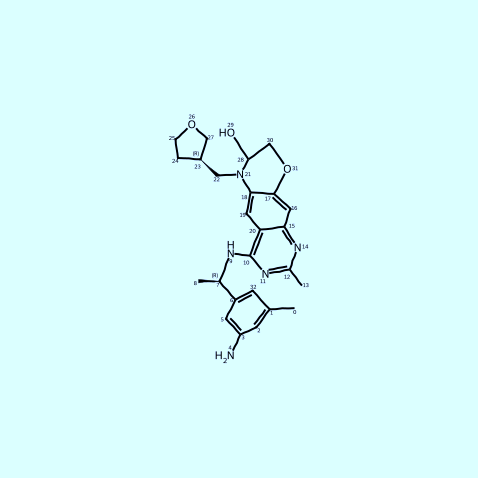 Cc1cc(N)cc([C@@H](C)Nc2nc(C)nc3cc4c(cc23)N(C[C@H]2CCOC2)C(O)CO4)c1